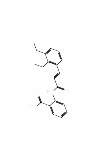 CCc1cccc(C=CC(=O)Nc2ccccc2C(=O)O)c1CC